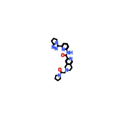 O=C(Nc1cccc(-c2nnc3n2CCC3)n1)c1cc2c(cn1)CCN(CC(=O)N1CCCC1)C2